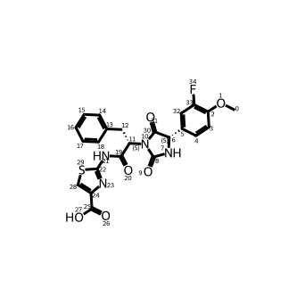 COc1ccc([C@@H]2NC(=O)N([C@@H](Cc3ccccc3)C(=O)Nc3nc(C(=O)O)cs3)C2=O)cc1F